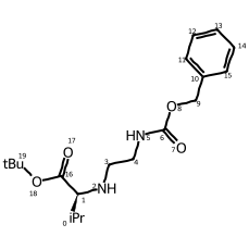 CC(C)[C@H](NCCNC(=O)OCc1ccccc1)C(=O)OC(C)(C)C